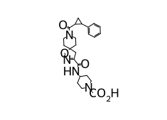 O=C(NC1CCN(C(=O)O)CC1)C1=NOC2(CCN(C(=O)C3CC3c3ccccc3)CC2)C1